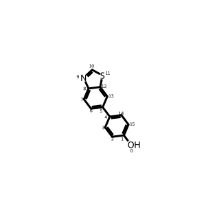 Oc1ccc(-c2ccc3ncsc3c2)cc1